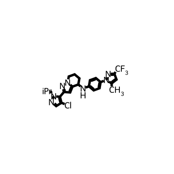 Cc1cc(C(F)(F)F)nn1-c1ccc(NC2CCCn3nc(-c4c(Cl)cnn4C(C)C)cc32)cc1